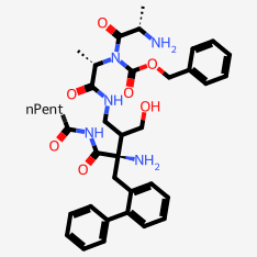 CCCCCC(=O)NC(=O)[C@@](N)(Cc1ccccc1-c1ccccc1)C(CO)CNC(=O)[C@H](C)N(C(=O)OCc1ccccc1)C(=O)[C@H](C)N